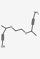 CC(C#CN)OCCOC(C)C#CO